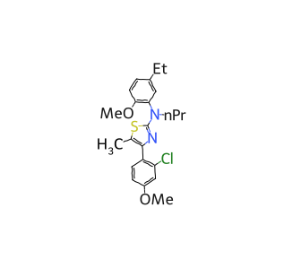 CCCN(c1nc(-c2ccc(OC)cc2Cl)c(C)s1)c1cc(CC)ccc1OC